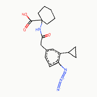 [N-]=[N+]=Nc1ccc(CC(=O)NC2(C(=O)O)CCCCC2)cc1C1CC1